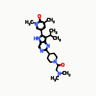 Cc1cc(-c2[nH]c3cnc(C4CCN(C(=O)CN(C)C)CC4)nc3c2C(C)C)cn(C)c1=O